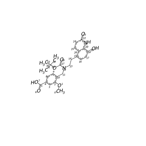 COc1cc(C(=O)O)ccc1CN(CCc1ccc(O)c2[nH]c(=O)ccc12)C(=O)OC(C)(C)C